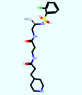 O=C(CCC1CCNCC1)NCCC(=O)NC[C@H](NS(=O)(=O)c1ccccc1Cl)C(=O)O